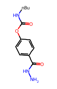 CCCCNC(=O)Oc1ccc(C(=O)NN)cc1